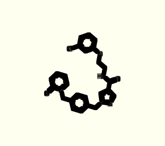 O=C(NCCOc1cccc(Cl)c1)c1cnn(Cc2ccc(Cn3ccccc3=O)cc2)c1